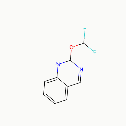 FC(F)OC1[N]c2ccccc2C=N1